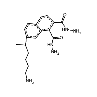 CC(CCCCN)c1ccc2ccc(C(=O)NN)c(C(=O)NN)c2c1